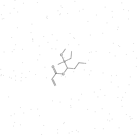 C=CC(=O)OC(CCC)[Si](C)(CC)OC